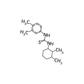 Cc1ccc(NC(=S)NC2CCCC(C)C2C)cc1C